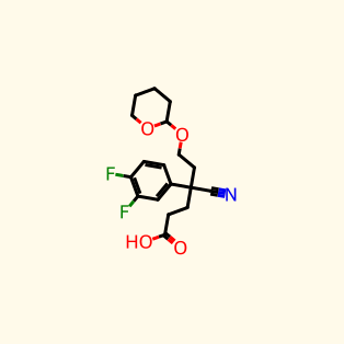 N#CC(CCOC1CCCCO1)(CCC(=O)O)c1ccc(F)c(F)c1